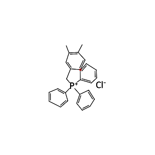 Cc1ccc(C[P+](c2ccccc2)(c2ccccc2)c2ccccc2)cc1C.[Cl-]